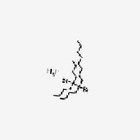 CCCCCCCCC(Br)(CCCC)C(Br)(CCCC)CCCC.P